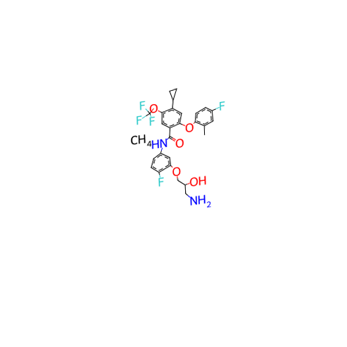 C.Cc1cc(F)ccc1Oc1cc(C2CC2)c(OC(F)(F)F)cc1C(=O)Nc1ccc(F)c(OCC(O)CN)c1